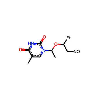 CCC(CN=O)OC(C)n1cc(C)c(=O)[nH]c1=O